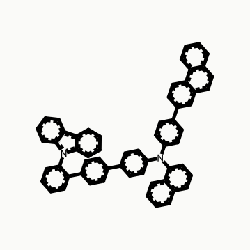 c1ccc(-n2c3ccccc3c3ccccc32)c(-c2ccc(-c3ccc(N(c4ccc(-c5ccc6c(ccc7ccccc76)c5)cc4)c4cccc5ccccc45)cc3)cc2)c1